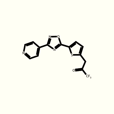 O=C(Cc1ccc(-c2nc(-c3ccncc3)no2)s1)C(F)(F)F